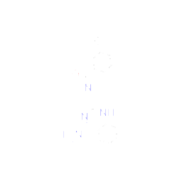 Cc1cccc(C(=O)N2CCC3(CC2)N=C(N)c2ccccc2N3)c1